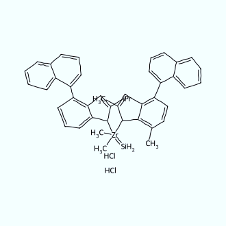 CC1=Cc2c(-c3cccc4ccccc34)ccc(C)c2[CH]1[Zr]([CH3])([CH3])(=[SiH2])[CH]1C(C(C)C)=Cc2c(-c3cccc4ccccc34)cccc21.Cl.Cl